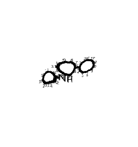 C1CCCCC(C2CCCCCCC(NC3CCCCCCC3)CC2)CCCC1